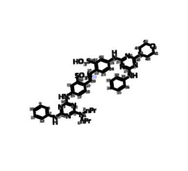 CCCN(CCC)c1nc(Nc2ccccc2)nc(Nc2ccc(/C=C/c3ccc(Nc4nc(Nc5ccccc5)nc(N5CCOCC5)n4)cc3S(=O)(=O)O)c(S(=O)(=O)O)c2)n1